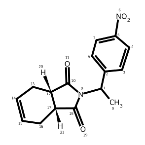 CC(c1ccc([N+](=O)[O-])cc1)N1C(=O)[C@H]2CC=CC[C@H]2C1=O